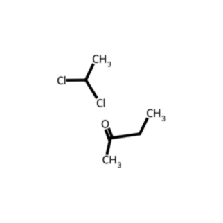 CC(Cl)Cl.CCC(C)=O